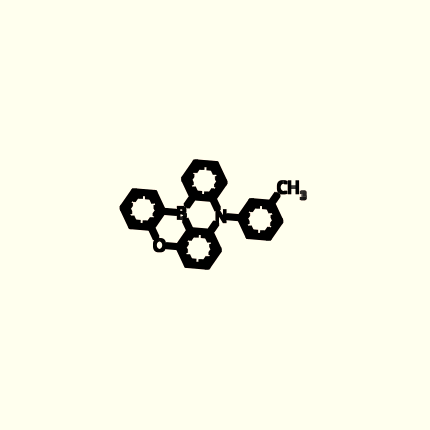 Cc1cccc(N2c3ccccc3B3c4ccccc4Oc4cccc2c43)c1